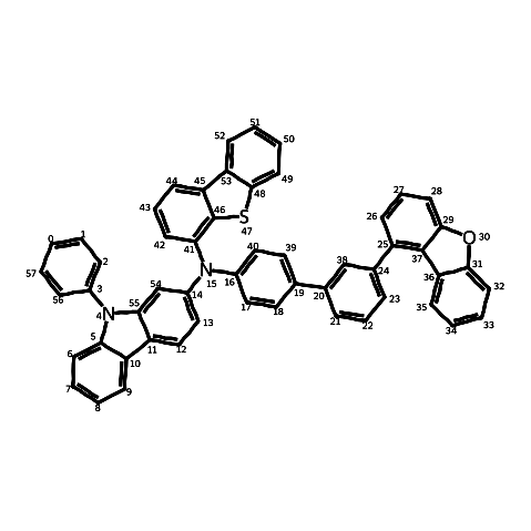 c1ccc(-n2c3ccccc3c3ccc(N(c4ccc(-c5cccc(-c6cccc7oc8ccccc8c67)c5)cc4)c4cccc5c4sc4ccccc45)cc32)cc1